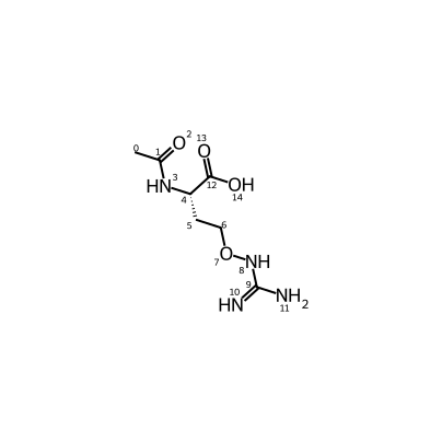 CC(=O)N[C@@H](CCONC(=N)N)C(=O)O